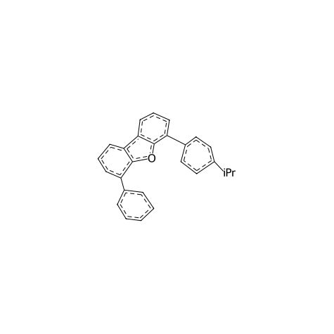 CC(C)c1ccc(-c2cccc3c2oc2c(-c4ccccc4)cccc23)cc1